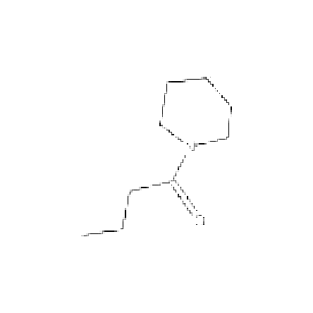 CCCC(=O)N1CC[CH]CC1